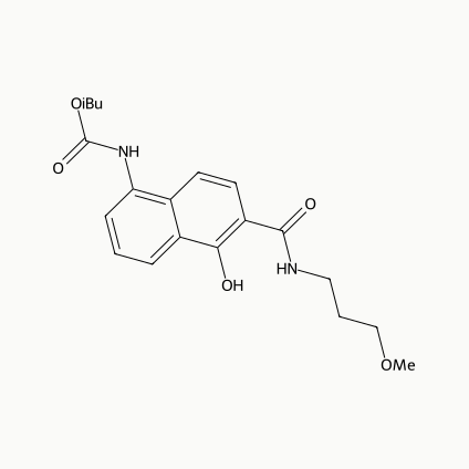 COCCCNC(=O)c1ccc2c(NC(=O)OCC(C)C)cccc2c1O